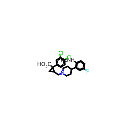 CC(=O)Nc1ccc(F)cc1C1CCN(CC2CC2(C(=O)O)c2ccc(Cl)c(Cl)c2)CC1